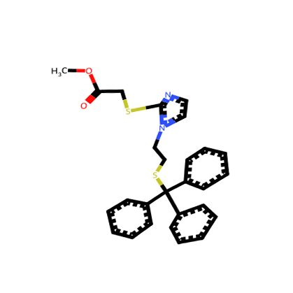 COC(=O)CSc1nccn1CCSC(c1ccccc1)(c1ccccc1)c1ccccc1